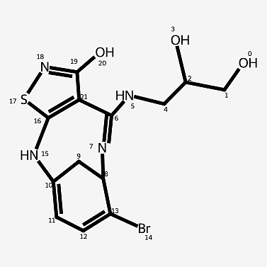 OCC(O)CN/C1=N\C2CC(=CC=C2Br)Nc2snc(O)c21